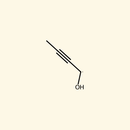 CC#C[CH]O